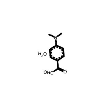 CN(C)c1ccc(C(=O)C=O)cc1.O